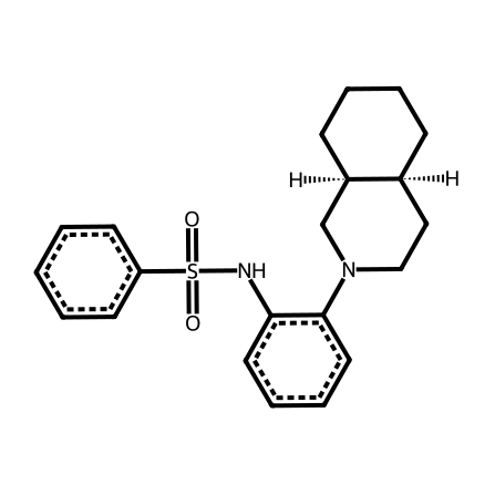 O=S(=O)(Nc1ccccc1N1CC[C@@H]2CCCC[C@@H]2C1)c1ccccc1